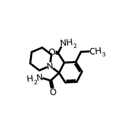 CCC1=CC=CC(C(N)=O)(N2CCCCC2)C1C(N)=O